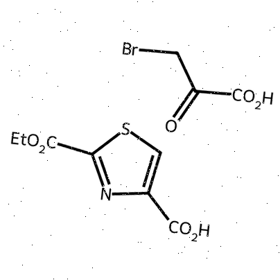 CCOC(=O)c1nc(C(=O)O)cs1.O=C(O)C(=O)CBr